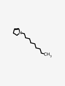 CCCCCCCCCN1C=CCC1